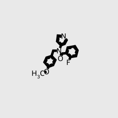 COc1ccc(CN(C(=O)c2ccccc2F)c2ccncc2)cc1